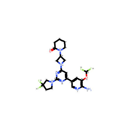 Nc1ncc(-c2cc(N3CC(N4CCCCC4=O)C3)nc(N3CCC(F)(F)C3)n2)cc1OC(F)F